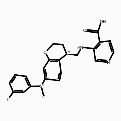 O=C(O)c1ccncc1NC[C@@H]1CCOc2cc([S+]([O-])c3cccc(F)c3)ccc21